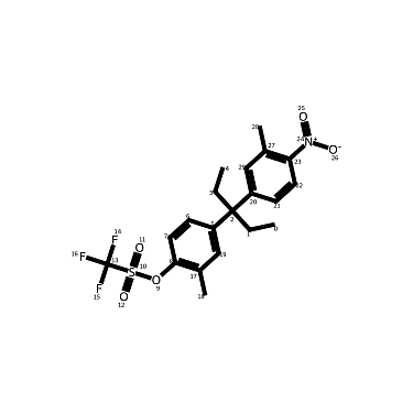 CCC(CC)(c1ccc(OS(=O)(=O)C(F)(F)F)c(C)c1)c1ccc([N+](=O)[O-])c(C)c1